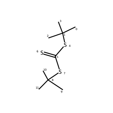 CC(C)(C)SC(=S)SC(C)(C)C